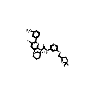 CC1(C)OCC(COc2cncc(NC(=O)N3c4nc(-c5cccc(C(F)(F)F)c5)c(Cl)cc4N4CCC[C@H]3C4)c2)O1